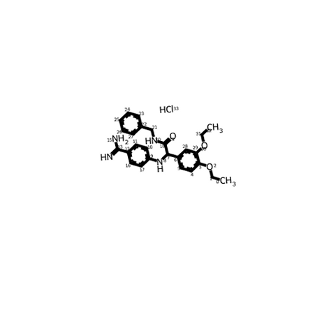 CCOc1ccc(C(Nc2ccc(C(=N)N)cc2)C(=O)NCc2ccccc2)cc1OCC.Cl